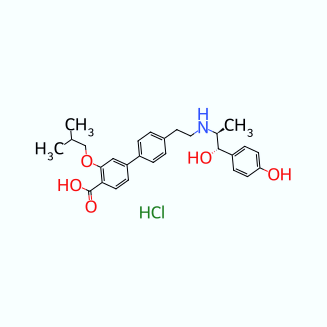 CC(C)COc1cc(-c2ccc(CCN[C@@H](C)[C@@H](O)c3ccc(O)cc3)cc2)ccc1C(=O)O.Cl